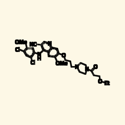 CCOCCC(=O)N1CCN(CCCOc2cc3ncc(C#N)c(Nc4cc(OC)c(Cl)cc4Cl)c3cc2OC)CC1